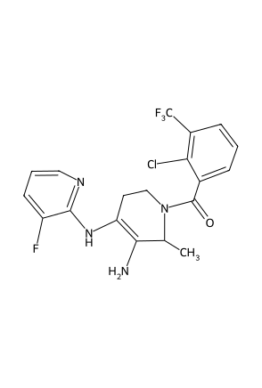 CC1C(N)=C(Nc2ncccc2F)CCN1C(=O)c1cccc(C(F)(F)F)c1Cl